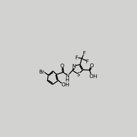 O=C(Nc1nc(C(F)(F)F)c(C(=O)O)s1)c1cc(Br)ccc1O